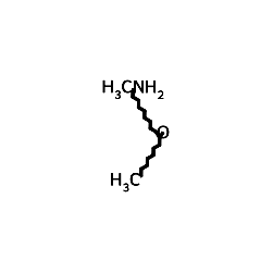 CCCCCCCCC1OC1CCCCCCCC(C)N